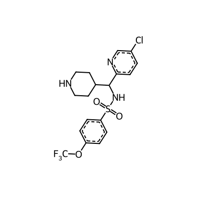 O=S(=O)(NC(c1ccc(Cl)cn1)C1CCNCC1)c1ccc(OC(F)(F)F)cc1